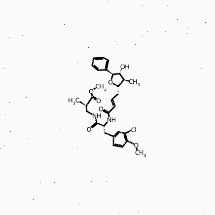 COC(=O)[C@H](C)CNC(=O)[C@@H](Cc1ccc(OC)c(Cl)c1)NC(=O)/C=C/C[C@@H]1O[C@@H](c2ccccc2)[C@H](O)[C@H]1C